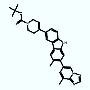 Cc1cc2c(cc1-c1cc(C)c3ncnn3c1)[nH]c1ccc(C3=CCN(C(=O)OC(C)(C)C)CC3)cc12